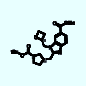 COC(=O)c1ccc2nc(C[C@@H]3CCN(C(=O)OC(C)(C)C)C3)n(C[C@@H]3CCO3)c2c1